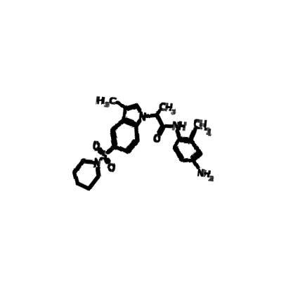 Cc1cc(N)ccc1NC(=O)C(C)n1cc(C)c2cc(S(=O)(=O)N3CCCCC3)ccc21